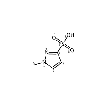 Cn1ccc(S(=O)(=O)O)n1